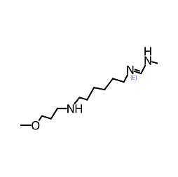 CN/C=N/CCCCCCNCCCOC